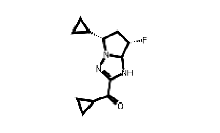 O=C(C1=NN2C(N1)[C@@H](F)C[C@H]2C1CC1)C1CC1